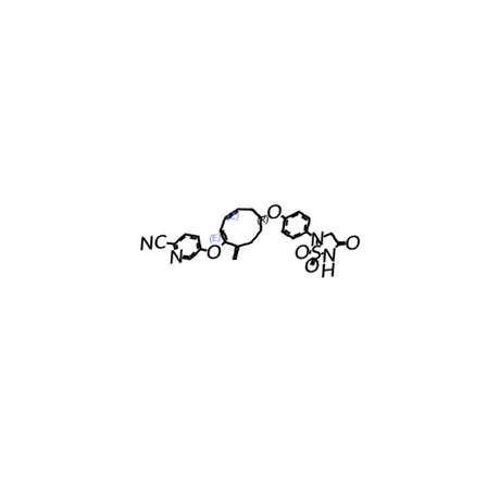 C=C1CC[C@@H](Oc2ccc(N3CC(=O)NS3(=O)=O)cc2)C/C=C\C=C/1Oc1ccc(C#N)nc1